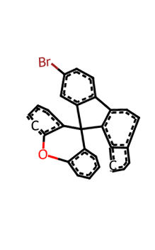 Brc1ccc2c(c1)C1(c3ccccc3Oc3ccccc31)c1c-2ccc2ccccc12